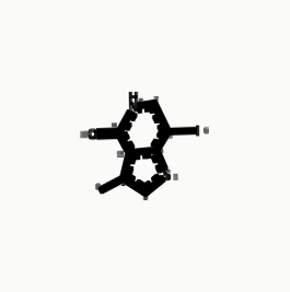 Cc1csc2c(I)c[nH]c(=O)c12